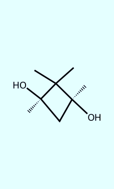 CC1(C)[C@@](C)(O)C[C@@]1(C)O